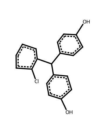 Oc1ccc(C(c2ccc(O)cc2)c2ccccc2Cl)cc1